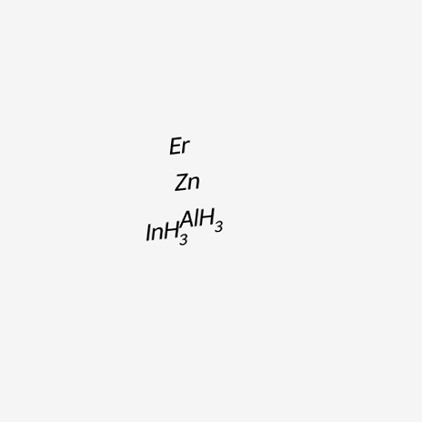 [AlH3].[Er].[InH3].[Zn]